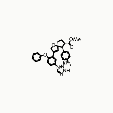 COC(=O)[C@H]1CC[C@@]2(C=C(c3cc(N4C=NNN4C(F)(F)F)ccc3Oc3ccccc3)CO2)[C@@H]1c1ccc(F)cc1